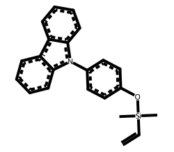 C=C[Si](C)(C)Oc1ccc(-n2c3ccccc3c3ccccc32)cc1